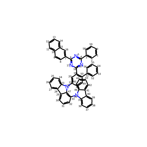 c1ccc(-c2nc(-c3ccc4ccccc4c3)nc(-c3cc(-n4c5ccccc5c5cccc(-n6c7ccccc7c7ccccc76)c54)ccc3-c3ccccc3)n2)cc1